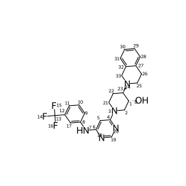 O[C@@H]1CN(c2cc(Nc3cccc(C(F)(F)F)c3)ncn2)CC[C@H]1N1CCc2ccccc2C1